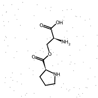 N[C@@H](COC(=O)[C@@H]1CCCN1)C(=O)O